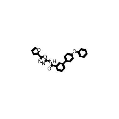 O=C(Nc1nnc(-c2ccco2)o1)c1cccc(-c2ccc(Oc3ccccc3)cc2)c1